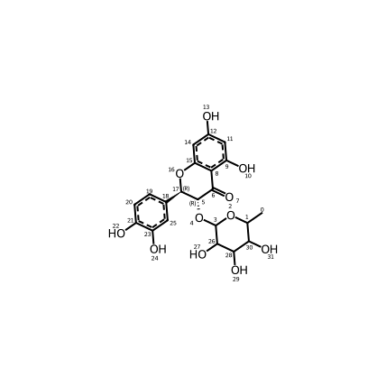 CC1OC(O[C@H]2C(=O)c3c(O)cc(O)cc3O[C@@H]2c2ccc(O)c(O)c2)C(O)C(O)C1O